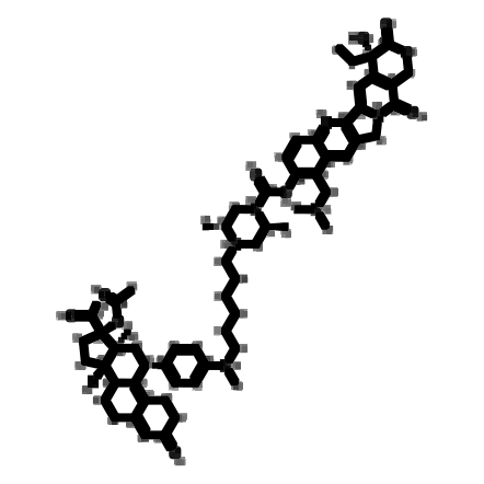 CC[C@@]1(O)C(=O)OCc2c1cc1n(c2=O)Cc2cc3c(CN(C)C)c(OC(=O)N4C[C@@H](C)N(CCCCCCN(C)c5ccc([C@H]6C[C@@]7(C)[C@@H](CC[C@]7(OC(C)=O)C(C)=O)C7CCC8=CC(=O)CCC8=C76)cc5)C[C@@H]4C)ccc3nc2-1